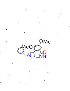 COc1cc(OC)c2c(c1)C(=O)NCC1CN(Cc3ccccc3)CC21